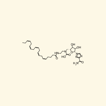 CC/C=C\C/C=C\C/C=C\C/C=C\C/C=C\CCCC(=O)NCCN(C[C@H]1O[C@@H](n2cnc(C(N)=O)n2)[C@H](O)[C@@H]1O)C(=O)O